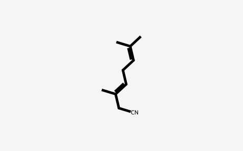 CC(C)=CCC=C(C)CC#N